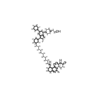 Cc1nn2c(N3CCN(CCO)CC3)cc(-c3ccccc3)nc2c1-c1cccc(CCCCCCCCCCCNc2cccc3nc(C)n(C4CCC(=O)NC4=O)c(=O)c23)c1